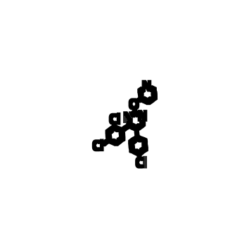 Clc1ccc(-c2cnc(Oc3cccnc3)nc2-c2ccc(Cl)cc2Cl)cc1